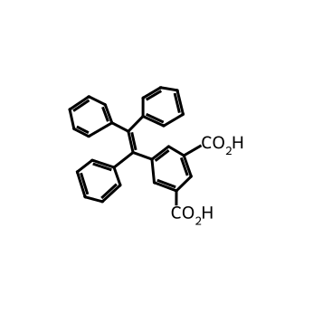 O=C(O)c1cc(C(=O)O)cc(C(=C(c2ccccc2)c2ccccc2)c2ccccc2)c1